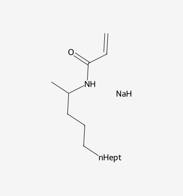 C=CC(=O)NC(C)CCCCCCCCCC.[NaH]